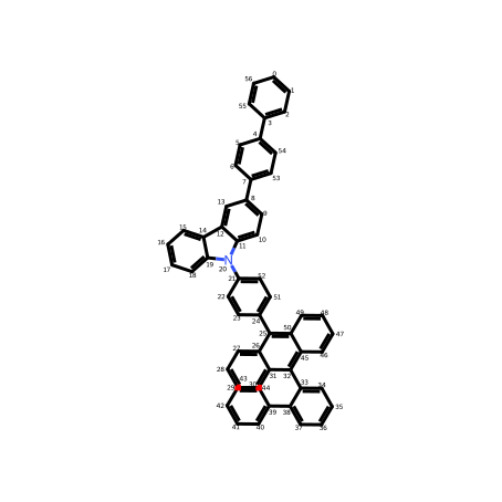 c1ccc(-c2ccc(-c3ccc4c(c3)c3ccccc3n4-c3ccc(-c4c5ccccc5c(-c5ccccc5-c5ccccc5)c5ccccc45)cc3)cc2)cc1